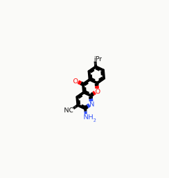 CC(C)c1ccc2oc3nc(N)c(C#N)cc3c(=O)c2c1